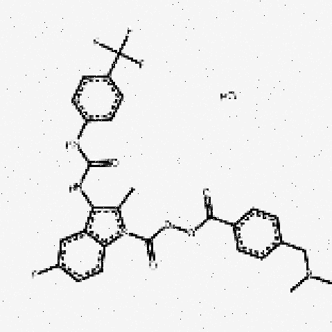 Cc1c(NC(=O)Nc2ccc(C(F)(F)F)cc2)c2cc(F)ccc2n1C(=O)OOC(=O)c1ccc(CN(C)C)cc1.Cl